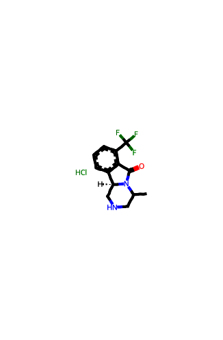 CC1CNC[C@H]2c3cccc(C(F)(F)F)c3C(=O)N12.Cl